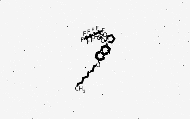 CCCCCCCCOc1ccc2cc(S3(OS(=O)(=O)C(F)(F)C(F)(F)C(F)(F)C(F)(F)F)CCCC3)ccc2c1